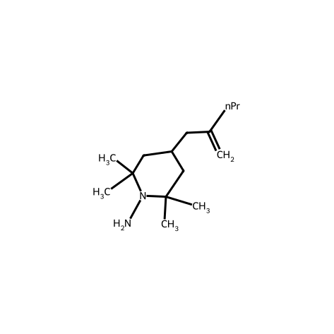 C=C(CCC)CC1CC(C)(C)N(N)C(C)(C)C1